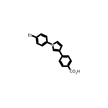 CCc1ccc(-n2ccc(-c3ccc(C(=O)O)cc3)c2)cc1